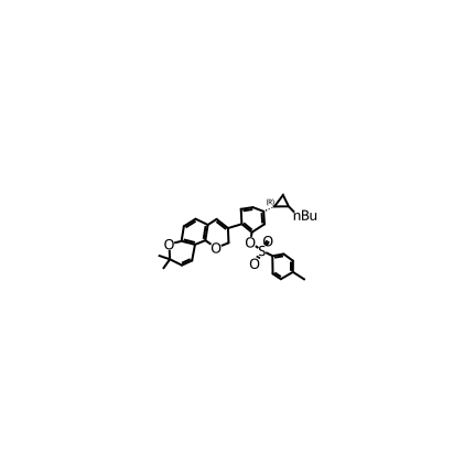 CCCCC1C[C@H]1c1ccc(C2=Cc3ccc4c(c3OC2)C=CC(C)(C)O4)c(OS(=O)(=O)c2ccc(C)cc2)c1